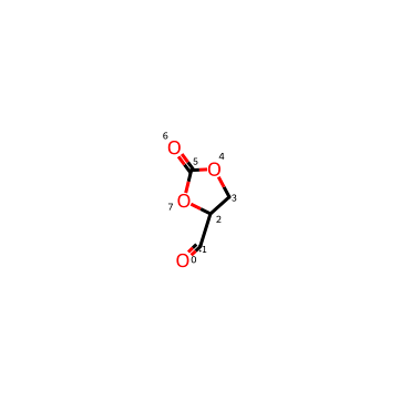 O=[C]C1COC(=O)O1